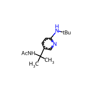 CC(=O)NC(C)(C)c1ccc(NC(C)(C)C)nc1